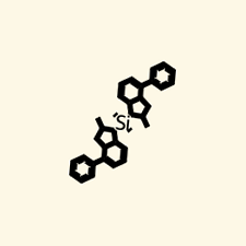 CC1CC2C(c3ccccc3)=CC=CC2C1[Si](C)(C)C1C(C)CC2C(c3ccccc3)=CC=CC21